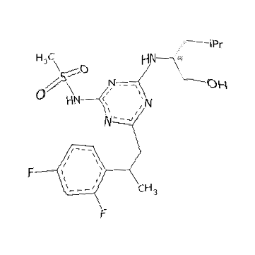 CC(C)C[C@H](CO)Nc1nc(CC(C)c2ccc(F)cc2F)nc(NS(C)(=O)=O)n1